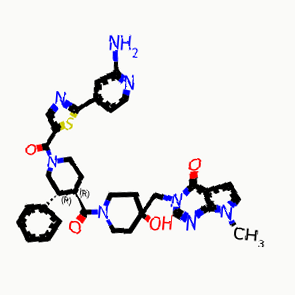 Cn1ccc2c(=O)n(CC3(O)CCN(C(=O)[C@@H]4CCN(C(=O)c5cnc(-c6ccnc(N)c6)s5)C[C@H]4c4ccccc4)CC3)cnc21